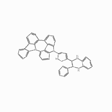 C1=C(C2Nc3ccccc3NC2c2ccccc2)CNC(n2c3cccc4c5cccc6c7ccccc7n(c7cccc2c7c43)c56)=C1